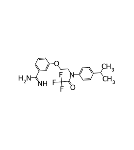 CC(C)c1ccc(N(CCOc2cccc(C(=N)N)c2)C(=O)C(F)(F)F)cc1